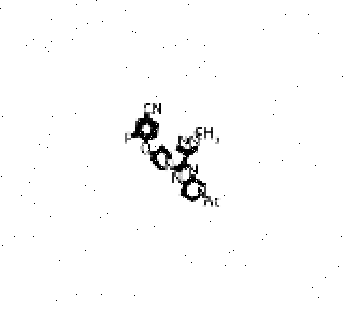 CC(=O)N1CCc2nc(N3CCC(Oc4ccc(C#N)cc4F)CC3)c(-c3cnn(C)c3)nc2C1